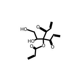 C=CC(=O)OC(C(=O)C=C)(C(=O)C=C)C(O)CO